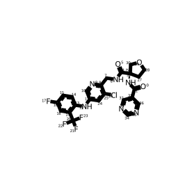 O=C(N[C@@]1(C(=O)NCc2ncc(Nc3ccc(F)cc3C(F)(F)F)cc2Cl)CCOC1)c1cncnc1